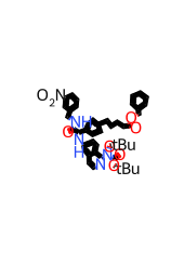 CC(C)(C)OC(=O)N(OC(C)(C)C)c1nccc2cc(NC(C(=O)NCc3cccc([N+](=O)[O-])c3)c3ccc(CCCCC(=O)OCc4ccccc4)cc3)ccc12